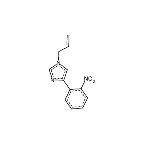 C=CCn1cnc(-c2ccccc2[N+](=O)[O-])c1